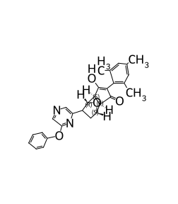 Cc1cc(C)c(C2=C(O)[C@H]3[C@@H](C2=O)[C@@H]2CC(c4cncc(Oc5ccccc5)n4)[C@H]3O2)c(C)c1